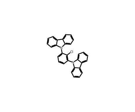 Clc1c(-n2c3ccccc3c3ccccc32)cccc1-n1c2ccccc2c2ccccc21